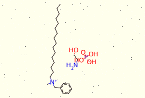 CCCCCCCCCCCCCCCC[N+](C)(C)Cc1ccccc1.NCCO.O=P(O)(O)O